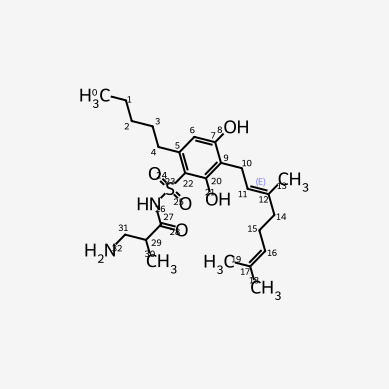 CCCCCc1cc(O)c(C/C=C(\C)CCC=C(C)C)c(O)c1S(=O)(=O)NC(=O)C(C)CN